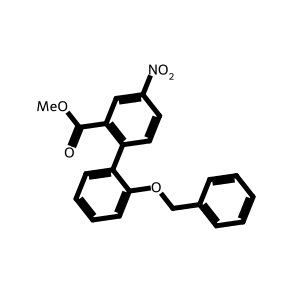 COC(=O)c1cc([N+](=O)[O-])ccc1-c1ccccc1OCc1ccccc1